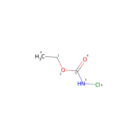 CCOC(=O)NCl